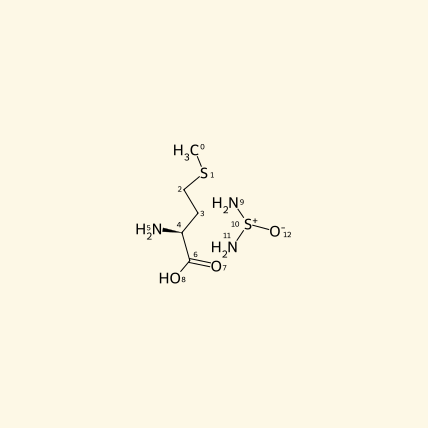 CSCC[C@H](N)C(=O)O.N[S+](N)[O-]